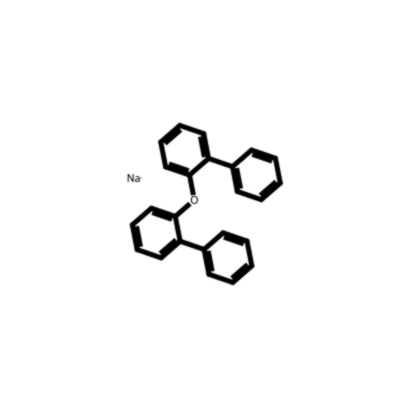 [Na].c1ccc(-c2ccccc2Oc2ccccc2-c2ccccc2)cc1